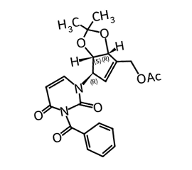 CC(=O)OCC1=C[C@@H](n2ccc(=O)n(C(=O)c3ccccc3)c2=O)[C@@H]2OC(C)(C)O[C@H]12